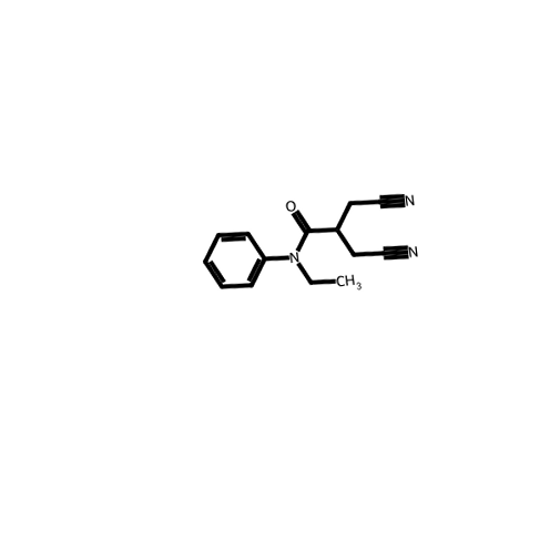 CCN(C(=O)C(CC#N)CC#N)c1ccccc1